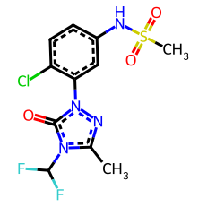 Cc1nn(-c2cc(NS(C)(=O)=O)ccc2Cl)c(=O)n1C(F)F